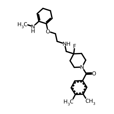 CNC1=CCCC=C1OCCNCC1(F)CCN(C(=O)c2ccc(C)c(C)c2)CC1